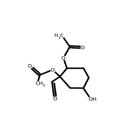 CC(=O)OC1CCC(O)CC1([C]=O)OC(C)=O